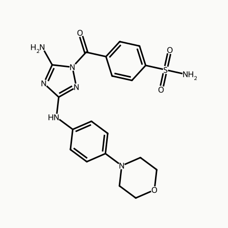 Nc1nc(Nc2ccc(N3CCOCC3)cc2)nn1C(=O)c1ccc(S(N)(=O)=O)cc1